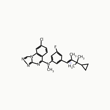 C/C(=C\c1cc(F)cc(N(C)c2nc3nncn3c3cc(Cl)ccc23)c1)C(C)(C)C1CC1